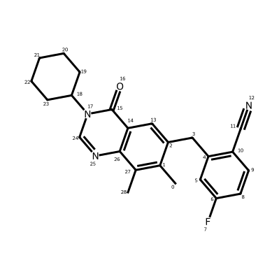 Cc1c(Cc2cc(F)ccc2C#N)cc2c(=O)n(C3CCCCC3)cnc2c1C